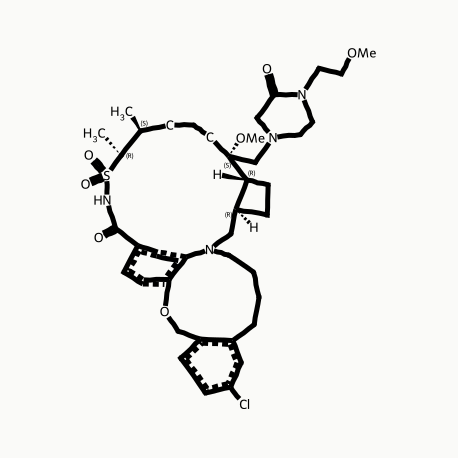 COCCN1CCN(C[C@]2(OC)CCC[C@H](C)[C@@H](C)S(=O)(=O)NC(=O)c3ccc4c(c3)N(CCCCc3cc(Cl)ccc3CO4)C[C@@H]3CC[C@H]32)CC1=O